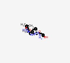 CCN(C(=O)C(N)Cc1c(C)cc(C)cc1C)C1CCNc2c(CN3CCN(C(=O)[C@@H](N)Cc4ccc(O)cc4)CC3)cc(Cc3ccccc3)cc21